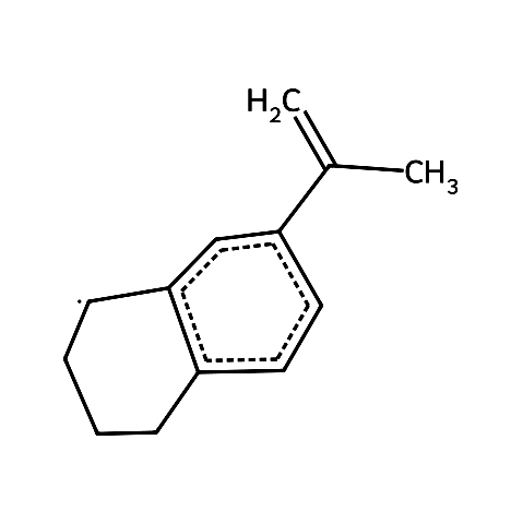 C=C(C)c1ccc2c(c1)[CH]CCC2